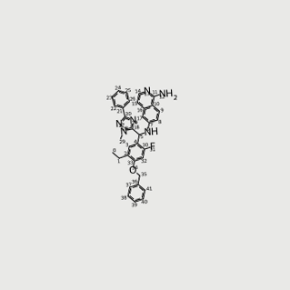 CCc1cc(C(Nc2ccc3c(N)nccc3c2)c2nc(-c3ccccc3)nn2C)c(F)cc1OCc1ccccc1